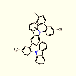 N#Cc1ccc(-n2c3ccccc3c3cc(-c4cc(C(F)(F)F)ccc4-n4c5ccccc5c5ccccc54)ccc32)c(-c2ccc(C(F)(F)F)cc2C#N)c1